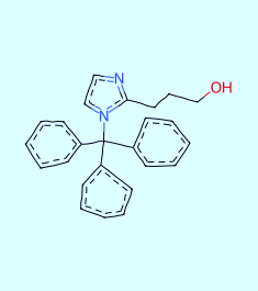 OCCCc1nccn1C(c1ccccc1)(c1ccccc1)c1ccccc1